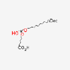 CCCCCCCCCCCCCCCCCCCCOC[C@H](CO)OCCCCCC(=O)O